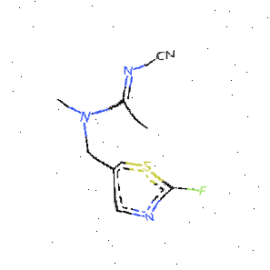 C/C(=N\C#N)N(C)Cc1cnc(F)s1